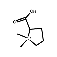 C[N+]1(C)CCCC1C(=O)O